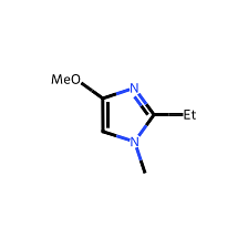 CCc1nc(OC)cn1C